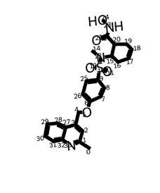 Cc1cc(COc2ccc(S(=O)(=O)N(C)C3CC=CCC3C(=O)NO)cc2)c2ccccc2n1